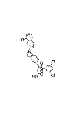 NC(=O)c1cccc(-n2ccc3cc(N(CC(=O)O)S(=O)(=O)c4cc(Cl)cc(Cl)c4)ccc32)c1